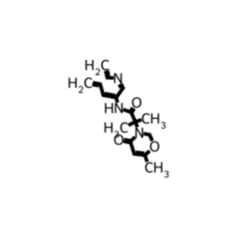 C=C/C=C(\C=N/C=C)NC(=O)C(C)(C)N1COC(C)=CC1=O